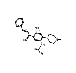 CC(C)C(=O)Nc1cc(C(=N)/C=C/c2ccccc2)c(N)cc1N1CCN(C)CC1